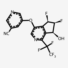 N#Cc1cncc(Oc2cnc(C(F)(F)C(F)(F)F)c3c2[C@@H](F)[C@@H](F)[C@H]3O)c1